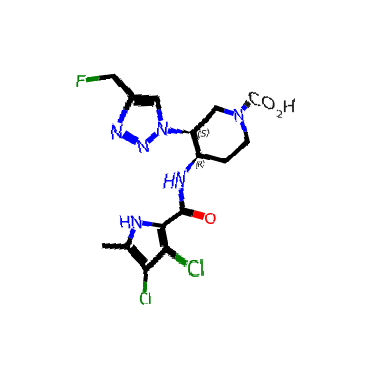 Cc1[nH]c(C(=O)N[C@@H]2CCN(C(=O)O)C[C@@H]2n2cc(CF)nn2)c(Cl)c1Cl